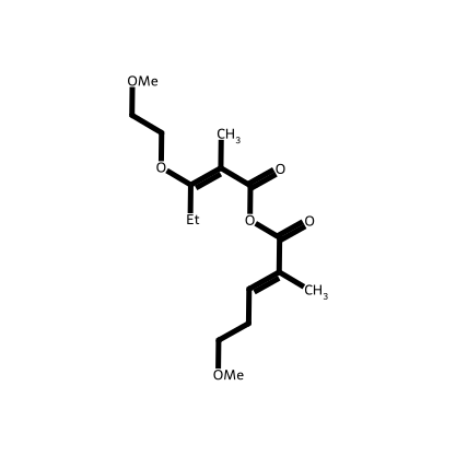 CCC(OCCOC)=C(C)C(=O)OC(=O)C(C)=CCCOC